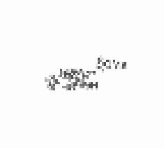 COC(=O)C=CCCCCC1[C@@H](COP(=O)(CCc2ccccc2)OC)[C@H](O)C[C@@H]1O